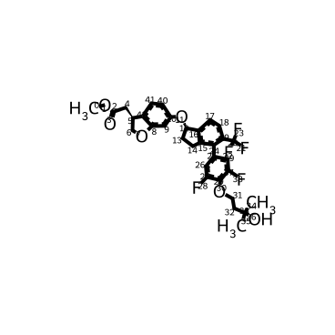 COC(=O)C[C@@H]1COc2cc(O[C@@H]3CCc4c3ccc(C(F)(F)F)c4-c3cc(F)c(OCCC(C)(C)O)c(F)c3)ccc21